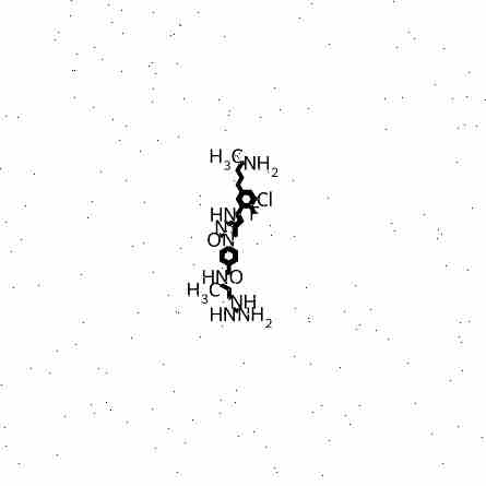 C[C@H](N)CCCc1cc(Cl)c(F)c(-c2cc3cn(-c4ccc(C(=O)N[C@@H](C)CCNC(=N)N)cc4)c(=O)nc3[nH]2)c1